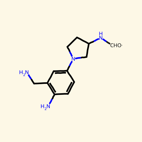 NCc1cc(N2CCC(N[C]=O)C2)ccc1N